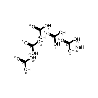 O=C(O)O.O=C(O)O.O=C(O)O.O=C(O)O.O=C(O)O.[NaH]